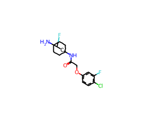 NC12CCC(NC(=O)COc3ccc(Cl)c(F)c3)(CC1)CC2F